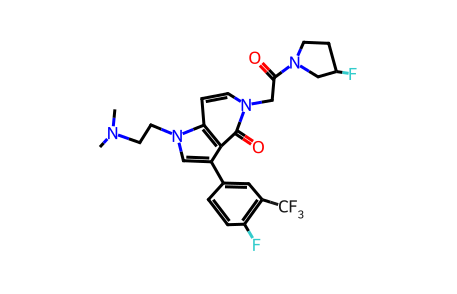 CN(C)CCn1cc(-c2ccc(F)c(C(F)(F)F)c2)c2c(=O)n(CC(=O)N3CCC(F)C3)ccc21